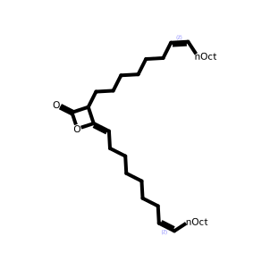 CCCCCCCC/C=C\CCCCCCC=C1OC(=O)C1CCCCCC/C=C\CCCCCCCC